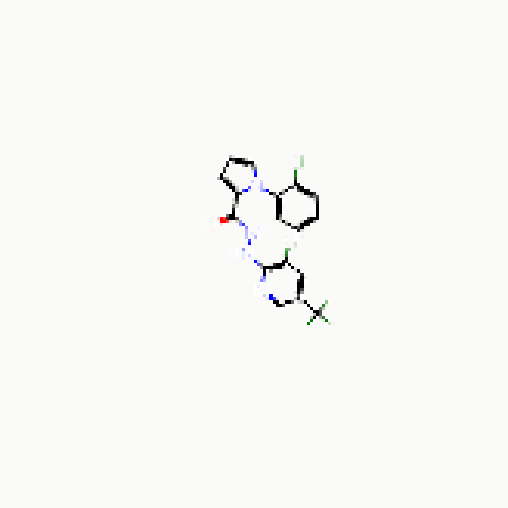 O=C(NNc1ncc(C(F)(F)F)cc1Cl)c1cccn1-c1ccccc1Cl